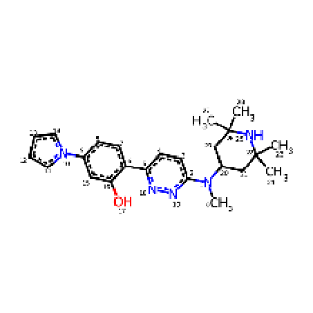 CN(c1ccc(-c2ccc(-n3cccc3)cc2O)nn1)C1CC(C)(C)NC(C)(C)C1